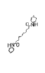 O=C(CCCCCCCCC(=O)Nc1ccccc1)NC1=CC[CH]C=C1